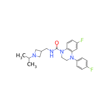 CC(C)N1CC(CNC(=O)N2CCN(c3ccc(F)cc3)c3cc(F)ccc32)C1